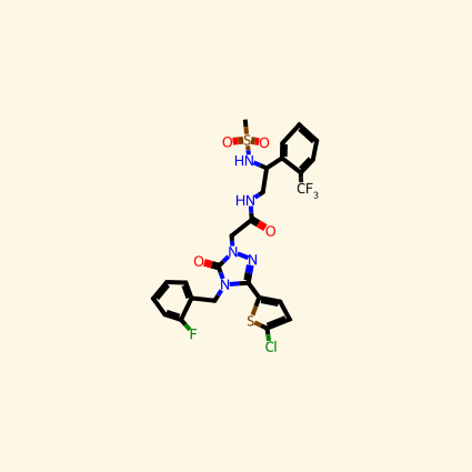 CS(=O)(=O)NC(CNC(=O)Cn1nc(-c2ccc(Cl)s2)n(Cc2ccccc2F)c1=O)c1ccccc1C(F)(F)F